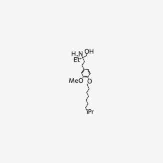 CC[C@@](N)(CO)CCc1ccc(OCCCCCCCC(C)C)c(OC)c1